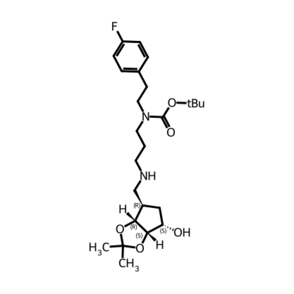 CC(C)(C)OC(=O)N(CCCNC[C@H]1C[C@H](O)[C@@H]2OC(C)(C)O[C@H]12)CCc1ccc(F)cc1